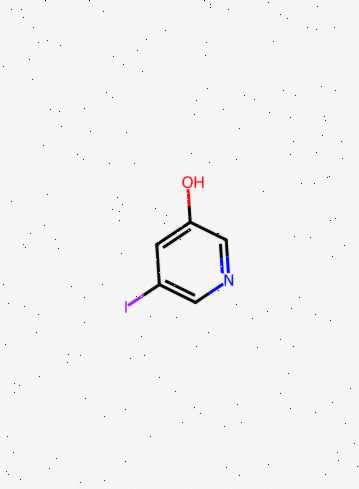 Oc1cncc(I)c1